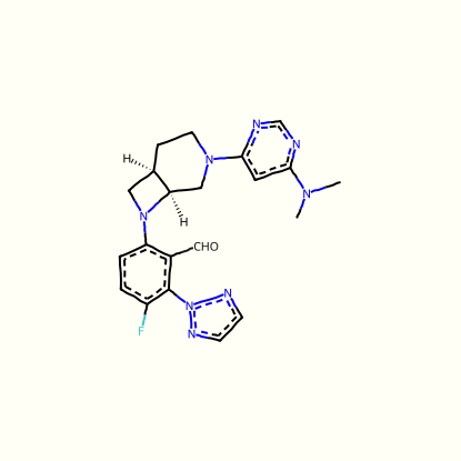 CN(C)c1cc(N2CC[C@@H]3CN(c4ccc(F)c(-n5nccn5)c4C=O)[C@@H]3C2)ncn1